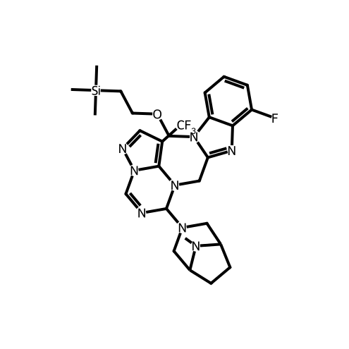 CN1C2CCC1CN(C1N=Cn3ncc(C(F)(F)F)c3N1Cc1nc3c(F)cccc3n1COCC[Si](C)(C)C)C2